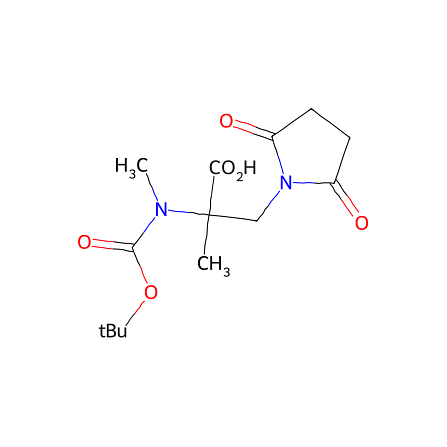 CN(C(=O)OC(C)(C)C)C(C)(CN1C(=O)CCC1=O)C(=O)O